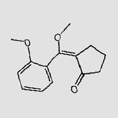 COC(=C1CCCC1=O)c1ccccc1OC